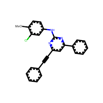 COc1ccc(Nc2nc(C#Cc3ccccc3)cc(-c3ccccc3)n2)cc1Cl